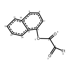 CCC(=O)C(=O)Oc1cccc2ccccc12